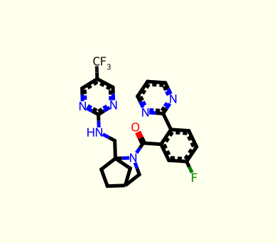 O=C(c1cc(F)ccc1-c1ncccn1)N1CC2CCC1(CNc1ncc(C(F)(F)F)cn1)C2